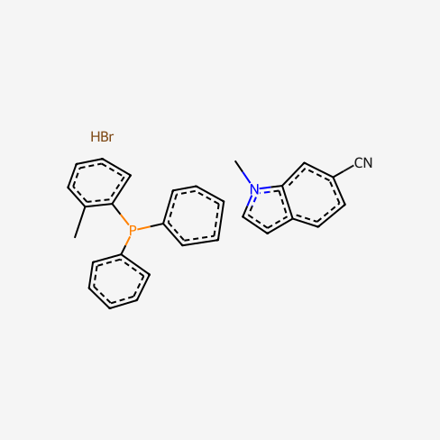 Br.Cc1ccccc1P(c1ccccc1)c1ccccc1.Cn1ccc2ccc(C#N)cc21